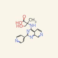 CC(CO)(Nc1nc(-c2ccncc2)nc2cnccc12)C(=O)O